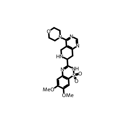 COc1cc2c(cc1OC)S(=O)(=O)NC(C1Cc3ncnc(N4CCOCC4)c3CN1)=N2